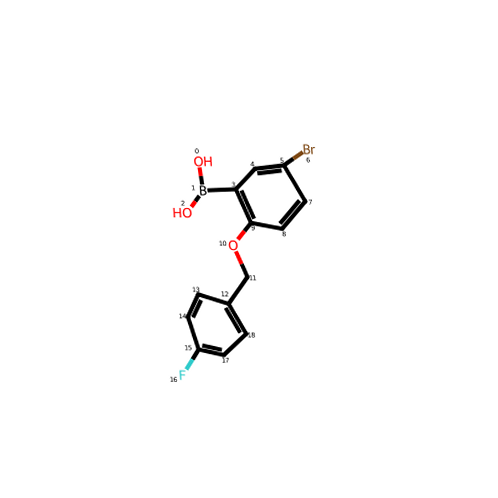 OB(O)c1cc(Br)ccc1OCc1ccc(F)cc1